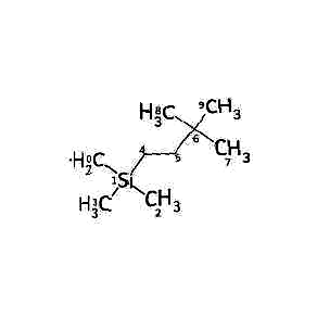 [CH2][Si](C)(C)CCC(C)(C)C